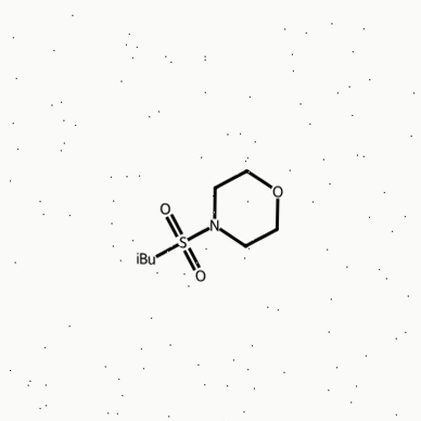 CCC(C)S(=O)(=O)N1CCOCC1